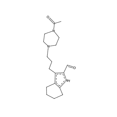 CC(=O)N1CCN(CCCc2c(C=O)[nH]c3c2CCCC3)CC1